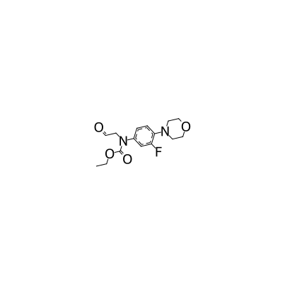 CCOC(=O)N(CC=O)c1ccc(N2CCOCC2)c(F)c1